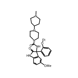 CCOc1ccccc1C1(NC(=O)N2CCN(C3CCN(C)CC3)CC2)C(=O)Nc2ccc(OC)cc21